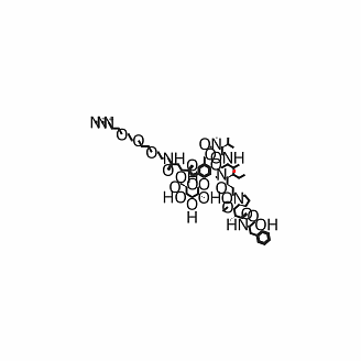 CCC(C)[C@@H]([C@@H](CC(=O)N1CCC[C@H]1[C@H](OC)[C@@H](C)C(=O)NC(Cc1ccccc1)C(=O)O)OC)N(C)C(=O)[C@@H](NC(=O)[C@H](C(C)C)N(C)C(=O)OCc1ccc(O[C@@H]2O[C@H](C(=O)O)[C@@H](O)[C@H](O)[C@H]2O)c2cc(CCC(=O)NCCOCCOCCOCCN=[N+]=[N-])oc12)C(C)C